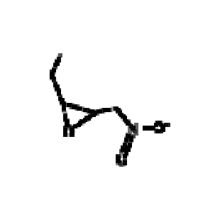 CCC1OC1C[N+](=O)[O-]